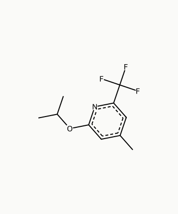 Cc1cc(OC(C)C)nc(C(F)(F)F)c1